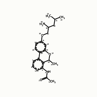 CC(=O)Nc1nccc2c1C(C)Oc1cc(OCC(N)CC(C)C)ccc1-2